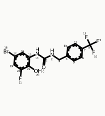 O=C(NCc1ccc(C(F)(F)F)cc1)Nc1cc(Br)cc(F)c1O